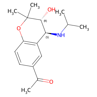 CC(=O)c1ccc2c(c1)[C@H](NC(C)C)[C@@H](O)C(C)(C)O2